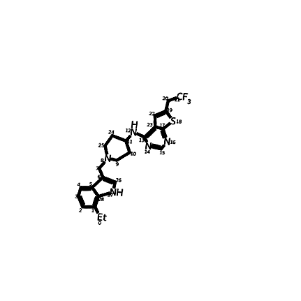 CCc1cccc2c(CN3CCC(Nc4ncnc5sc(CC(F)(F)F)cc45)CC3)c[nH]c12